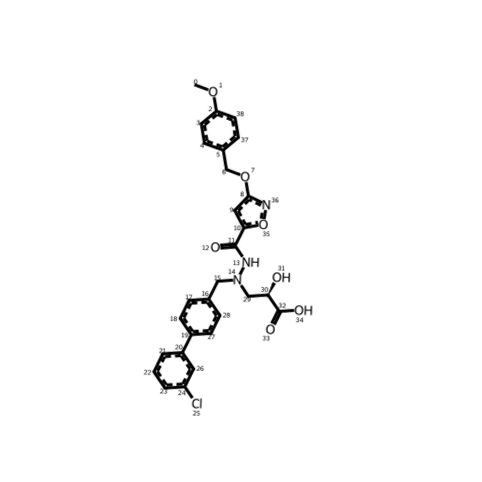 COc1ccc(COc2cc(C(=O)NN(Cc3ccc(-c4cccc(Cl)c4)cc3)C[C@@H](O)C(=O)O)on2)cc1